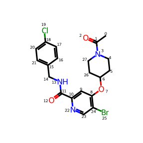 CC(=O)N1CCC(Oc2cc(C(=O)NCc3ccc(Cl)cc3)ncc2Br)CC1